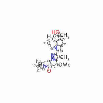 COc1cc(C(=O)N2CC3CC4CC2[C@H]43)cn2nc(-c3cc4ccc(C(C)(C)O)cc4n3CC3CC3)c(C)c12